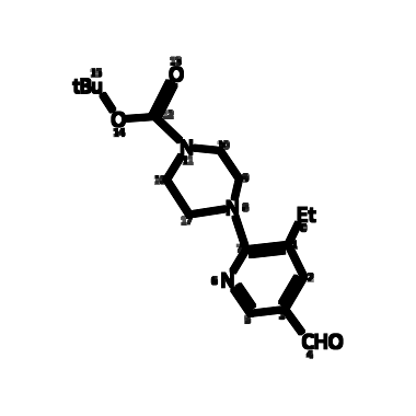 CCc1cc(C=O)cnc1N1CCN(C(=O)OC(C)(C)C)CC1